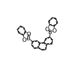 c1ccc2c(c1)OB(c1ccc3ccc4ccc(B5Oc6ccccc6O5)cc4c3c1)O2